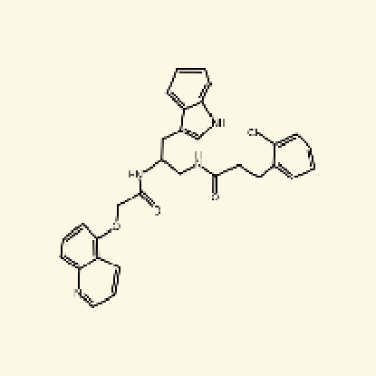 O=C(CCc1ccccc1Cl)NCC(Cc1c[nH]c2ccccc12)NC(=O)COc1cccc2ncccc12